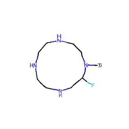 FC1CNCCNCCNCC[N]1[Ti]